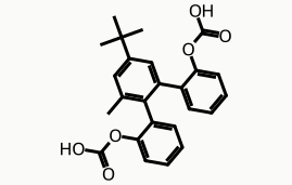 Cc1cc(C(C)(C)C)cc(-c2ccccc2OC(=O)O)c1-c1ccccc1OC(=O)O